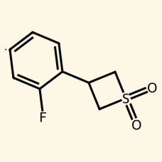 O=S1(=O)CC(c2cc[c]cc2F)C1